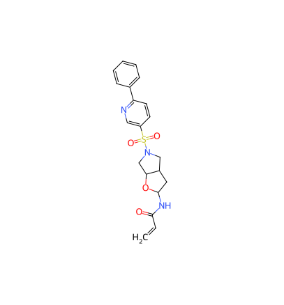 C=CC(=O)NC1CC2CN(S(=O)(=O)c3ccc(-c4ccccc4)nc3)CC2O1